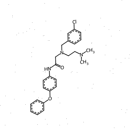 CN(C)CCN(CC(=O)Nc1ccc(Oc2ccccc2)cc1)Cc1cccc(Cl)c1